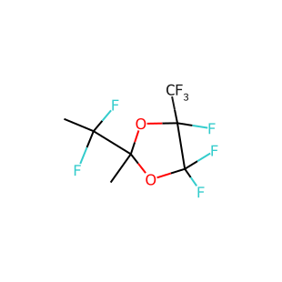 CC(F)(F)C1(C)OC(F)(F)C(F)(C(F)(F)F)O1